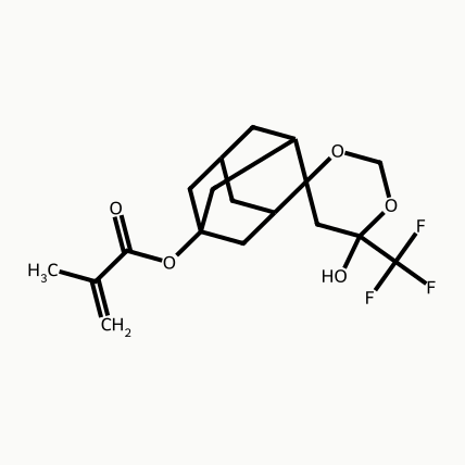 C=C(C)C(=O)OC12CC3CC(C1)C1(CC(O)(C(F)(F)F)OCO1)C(C3)C2